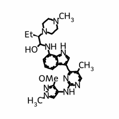 CC[C@H](C(O)Nc1cccc2c(-c3nc(Nc4cn(C)nc4OC)ncc3C)c[nH]c12)N1CCN(C)CC1